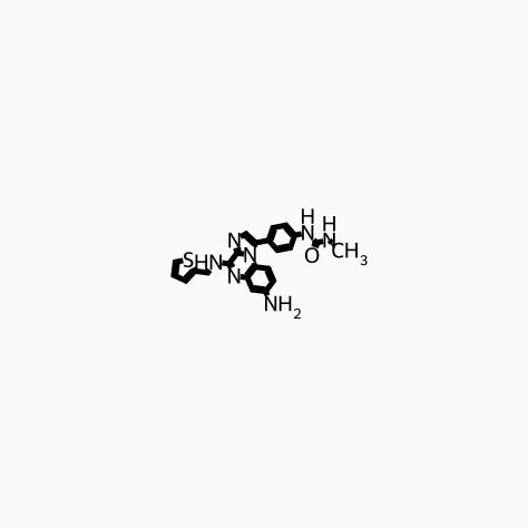 CNC(=O)Nc1ccc(-c2cnc3c(NCc4cccs4)nc4cc(N)ccc4n23)cc1